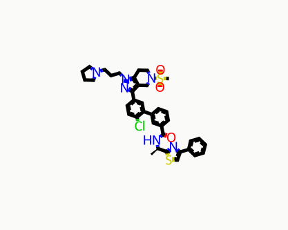 C[C@@H](NC(=O)c1cccc(-c2cc(-c3nn(CCCN4CCCC4)c4c3CN(S(C)(=O)=O)CC4)ccc2Cl)c1)c1nc(-c2ccccc2)cs1